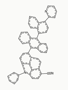 N#Cc1ccc2c3c1ccc1c(-c4c5ccccc5c(-c5ccc(-c6ccccn6)c6ccccc56)c5ccccc45)ccc(c13)n2-c1ccccc1